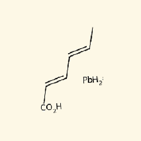 C/C=C/C=C/C(=O)O.[PbH2]